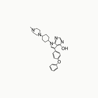 CN1CCN(C2CCC(n3cc(-c4ccc(Oc5ccccc5)cc4)c4c(O)ncnc43)CC2)CC1